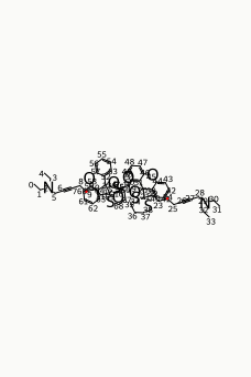 CCN(CC)CC#CCCCCC1(C2(OC(=O)C(=O)OC3(C4(CCCCC#CCN(CC)CC)SCCCS4)c4ccccc4Oc4ccccc43)c3ccccc3Oc3ccccc32)SCCCS1